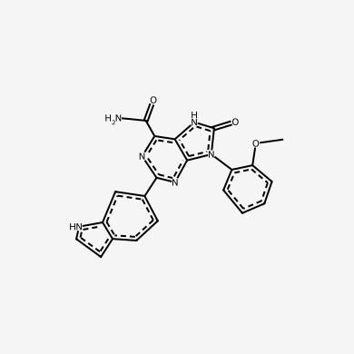 COc1ccccc1-n1c(=O)[nH]c2c(C(N)=O)nc(-c3ccc4cc[nH]c4c3)nc21